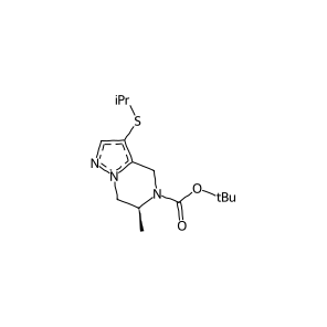 CC(C)Sc1cnn2c1CN(C(=O)OC(C)(C)C)[C@@H](C)C2